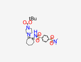 CN(C)S(=O)(=O)c1ccc(S(=O)(=O)N[C@@H]2CCCCC[C@@H]2N2CCN(C(=O)OC(C)(C)C)CC2)cc1